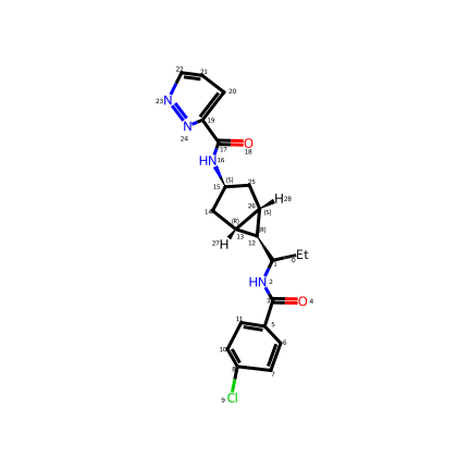 CCC(NC(=O)c1ccc(Cl)cc1)[C@H]1[C@@H]2C[C@@H](NC(=O)c3cccnn3)C[C@@H]21